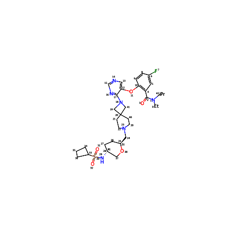 CCN(C(=O)c1cc(F)ccc1Oc1cncnc1N1CC2(CCN(C[C@@H]3CC[C@@H](NS(=O)(=O)C4CCC4)CO3)CC2)C1)C(C)C